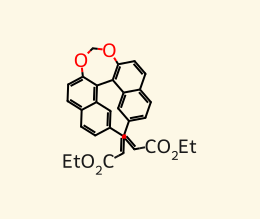 CCOC(=O)/C=C\c1ccc2ccc3c(c2c1)-c1c(ccc2ccc(/C=C\C(=O)OCC)cc12)OCO3